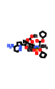 CCOC1O[C@H]2[C@H](c3ccc4c(N)ccnn34)O[C@](C#N)(COP(=O)(N[C@@H](C)C(=O)OC3CCCCC3)Oc3ccccc3)[C@H]2O1